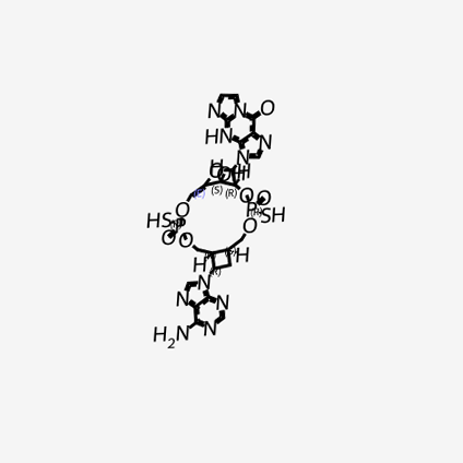 Nc1ncnc2c1ncn2[C@@H]1C[C@@H]2CO[P@@](=O)(S)O[C@H]3C(n4cnc5c(=O)n6ccnc6[nH]c54)O/C(=C/O[P@](=O)(S)OC[C@H]21)[C@H]3O